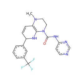 CN1CCN(C(=O)Nc2ccncn2)C2=C1C=CC(c1cccc(C(F)(F)F)c1)N2